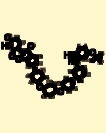 CC1(Oc2ccc3[nH]nc(-c4cc(N5CCC(OC6CCC(OC7CCN(c8ccc9c(c8)C(=O)N(C8CCC(=O)NC8=O)C9=O)CC7)CC6)CC5)ncn4)c3c2)CC1